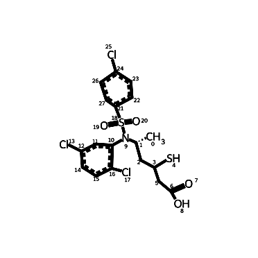 C[C@H](CC(S)CC(=O)O)N(c1cc(Cl)ccc1Cl)S(=O)(=O)c1ccc(Cl)cc1